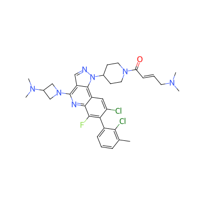 Cc1cccc(-c2c(Cl)cc3c(nc(N4CC(N(C)C)C4)c4cnn(C5CCN(C(=O)/C=C/CN(C)C)CC5)c43)c2F)c1Cl